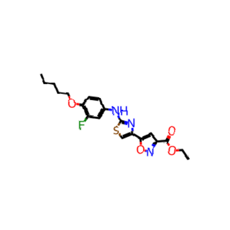 CCCCCOc1ccc(Nc2nc(-c3cc(C(=O)OCC)no3)cs2)cc1F